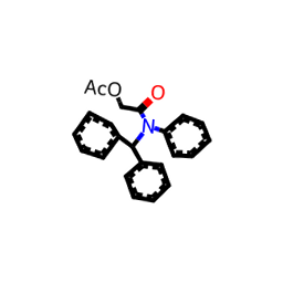 CC(=O)OCC(=O)N(c1ccccc1)C(c1ccccc1)c1ccccc1